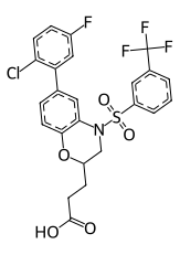 O=C(O)CCC1CN(S(=O)(=O)c2cccc(C(F)(F)F)c2)c2cc(-c3cc(F)ccc3Cl)ccc2O1